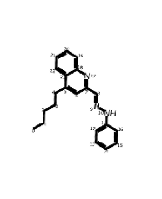 CCCCCc1cc(C=NNc2ccccc2)nc2ccccc12